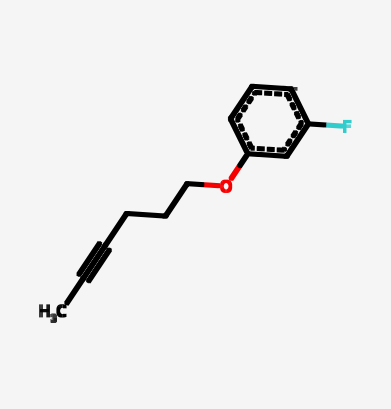 CC#CCCCOc1cc[c]c(F)c1